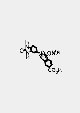 COC(=O)c1ccc(C(=O)O)cc1CNc1ccc2[nH]c(=O)[nH]c2c1